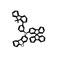 CC1(C)c2ccccc2-c2cccc(-c3cccc(N(c4ccc5c(c4)C4(c6ccccc6-c6ccccc64)c4ccccc4-5)c4ccc5oc6ccccc6c5c4)c3)c21